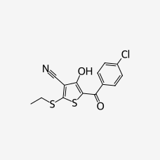 CCSc1sc(C(=O)c2ccc(Cl)cc2)c(O)c1C#N